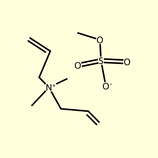 C=CC[N+](C)(C)CC=C.COS(=O)(=O)[O-]